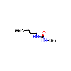 CNCCCNC(=O)NC(C)(C)C